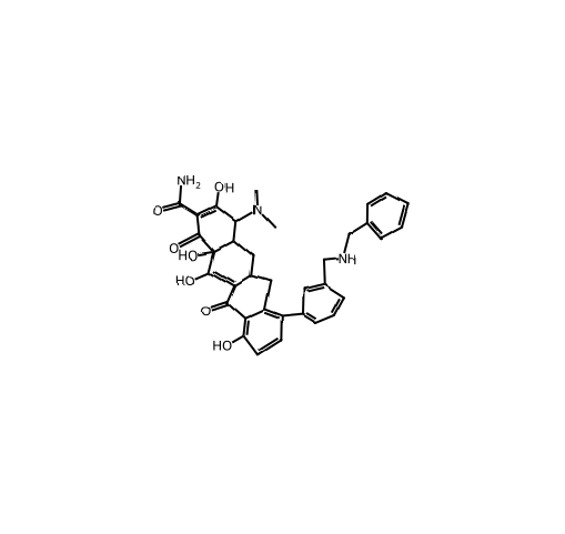 CN(C)C1C(O)=C(C(N)=O)C(=O)C2(O)C(O)=C3C(=O)c4c(O)ccc(-c5cccc(CNCc6ccccc6)c5)c4CC3CC12